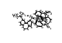 CN(C)C1=CC2=C3C=C(N(C)C)C(c4ccc5c(c4)N(C)C4(CCCCC46N(C)c4ccccc4N6C)N5C)=CN3CCCN2C=C1